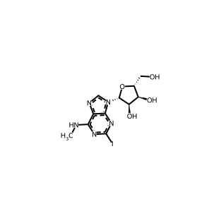 CNc1nc(I)nc2c1ncn2[C@@H]1O[C@H](CO)[C@@H](O)[C@H]1O